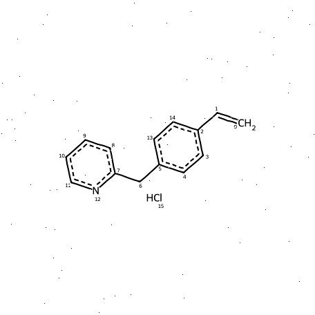 C=Cc1ccc(Cc2ccccn2)cc1.Cl